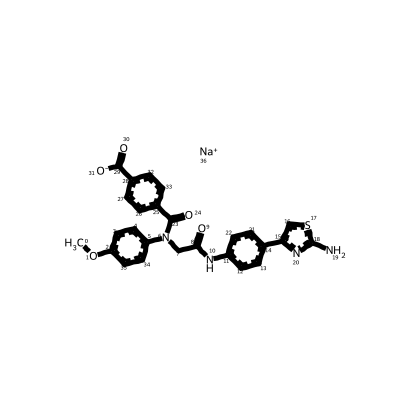 COc1ccc(N(CC(=O)Nc2ccc(-c3csc(N)n3)cc2)C(=O)c2ccc(C(=O)[O-])cc2)cc1.[Na+]